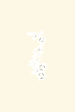 COC(=O)C(c1cc(OCC2(F)CCN(C[C@@H]3CC[C@]4(CO[Si](c5ccccc5)(c5ccccc5)C(C)(C)C)CCCN34)CC2)no1)C(C)C